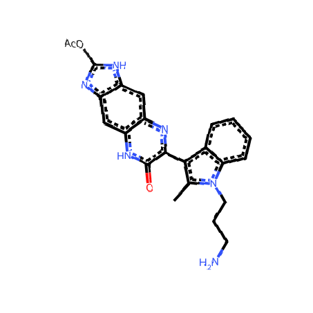 CC(=O)Oc1nc2cc3[nH]c(=O)c(-c4c(C)n(CCCN)c5ccccc45)nc3cc2[nH]1